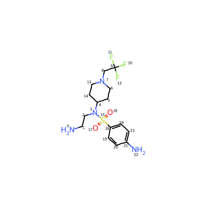 NCCN(C1CCN(CC(F)(F)F)CC1)S(=O)(=O)c1ccc(N)cc1